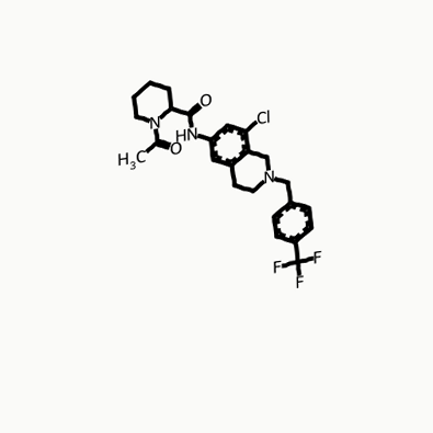 CC(=O)N1CCCCC1C(=O)Nc1cc(Cl)c2c(c1)CCN(Cc1ccc(C(F)(F)F)cc1)C2